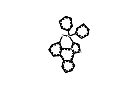 c1ccc([Si]2(c3ccccc3)Oc3cccc4c5ccccc5c5ncc2n5c34)cc1